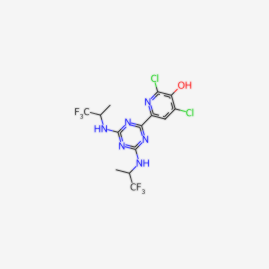 CC(Nc1nc(NC(C)C(F)(F)F)nc(-c2cc(Cl)c(O)c(Cl)n2)n1)C(F)(F)F